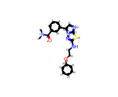 CN(C)C(=O)c1cccc(-c2cnc3sc(NCCOc4ccccc4)nn23)c1